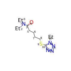 CCN(CC)C(=O)CCCCSc1nnnn1CC